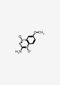 COc1ccc2c(c1)[n+]([O-])nc(N)[n+]2[O-]